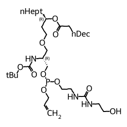 C=CCOP(OCCNC(=O)NCCO)OC[C@@H](COCC[C@@H](CCCCCCC)OC(=O)CCCCCCCCCCC)NC(=O)OC(C)(C)C